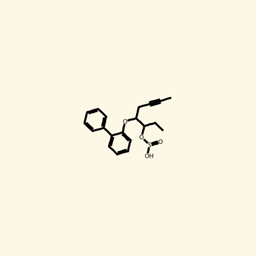 CC#CCC(Oc1ccccc1-c1ccccc1)C(CC)OS(=O)O